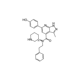 Cc1n[nH]c2nc(-c3ccc(O)cc3)cc(C(=O)N(CCc3ccccc3)[C@@H]3CCCNC3)c12